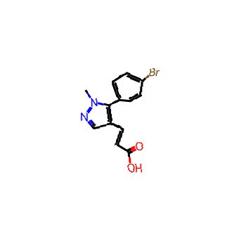 Cn1ncc(C=CC(=O)O)c1-c1ccc(Br)cc1